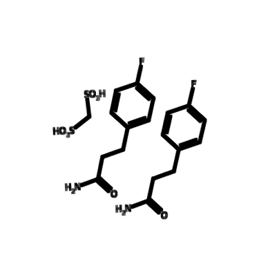 NC(=O)CCc1ccc(F)cc1.NC(=O)CCc1ccc(F)cc1.O=S(=O)(O)CS(=O)(=O)O